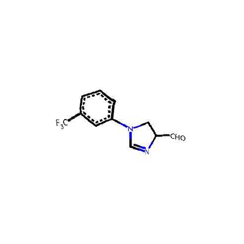 O=CC1CN(c2cccc(C(F)(F)F)c2)C=N1